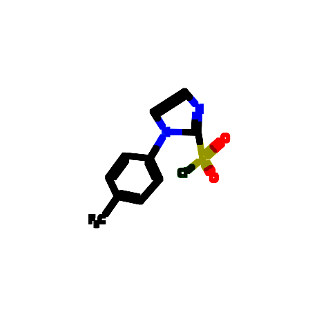 O=S(=O)(Cl)c1nccn1-c1ccc(C(F)(F)F)cc1